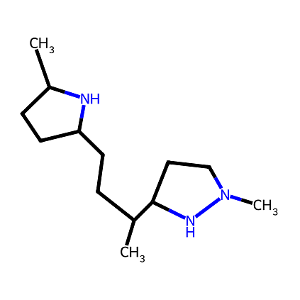 CC1CCC(CCC(C)C2CCN(C)N2)N1